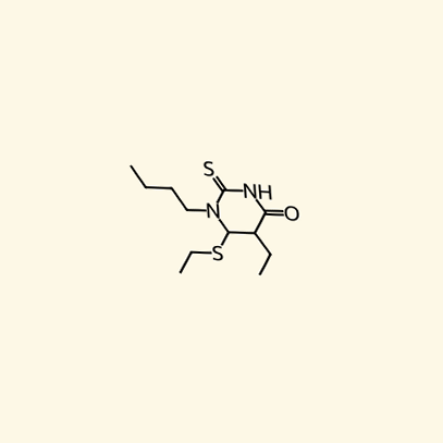 CCCCN1C(=S)NC(=O)C(CC)C1SCC